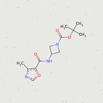 Cc1ncoc1C(=O)NC1CN(C(=O)OC(C)(C)C)C1